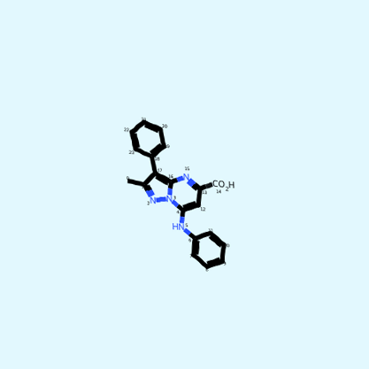 Cc1nn2c(Nc3ccccc3)cc(C(=O)O)nc2c1-c1ccccc1